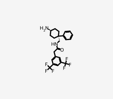 N[C@H]1CC[C@@](CNC(=O)Cc2cc(C(F)(F)F)cc(C(F)(F)F)c2)(c2ccccc2)CC1